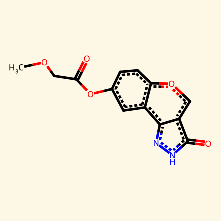 COCC(=O)Oc1ccc2occ3c(=O)[nH]nc-3c2c1